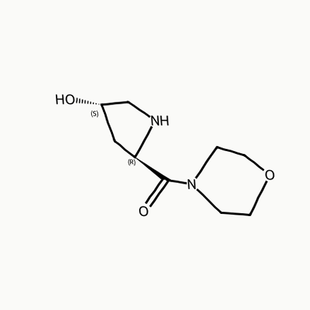 O=C([C@H]1C[C@H](O)CN1)N1CCOCC1